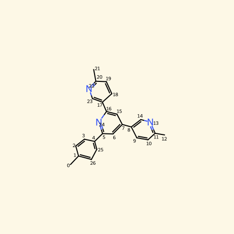 Cc1ccc(-c2cc(-c3ccc(C)nc3)cc(-c3ccc(C)nc3)n2)cc1